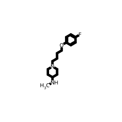 CNC1CCN(CCCCOc2ccc(F)cc2)CC1